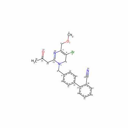 COCC1=C(Br)CN(Cc2ccc(-c3ccccc3C#N)cc2)C(CC(C)=O)=N1